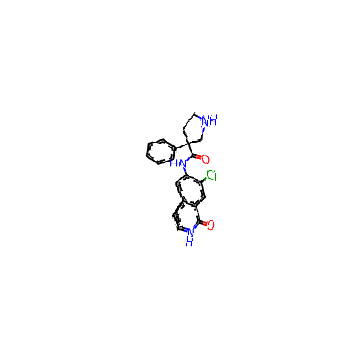 O=C(Nc1cc2cc[nH]c(=O)c2cc1Cl)C1(c2ccccc2)CCNC1